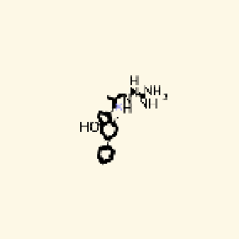 C/C(=C\[C@H]1CC[C@]2(O)C[C@@H](c3ccccc3)CC[C@]12C)CNNC(=N)N